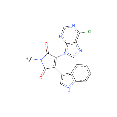 CN1C(=O)C(c2c[nH]c3ccccc23)=C(n2cnc3c(Cl)ncnc32)C1=O